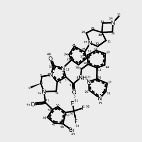 C[C@H]1Cn2c(c(C(=O)NCc3ccccc3-c3ccncn3)n(-c3ccc(N4CCC5(CC4)CN(C)C5)cc3)c2=O)CN1C(=O)c1ccc(Br)c(C(F)(F)F)c1